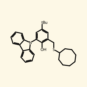 CC(C)(C)c1cc(CSC2CCCCCCC2)c(O)c(-n2c3ccccc3c3ccccc32)c1